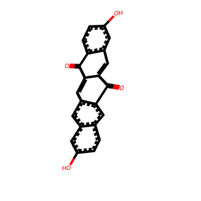 O=C1C2=Cc3cc4cc(O)ccc4cc3C(=O)C2=Cc2cc(O)ccc21